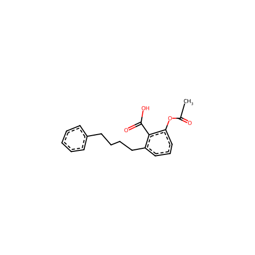 CC(=O)Oc1cccc(CCCCc2ccccc2)c1C(=O)O